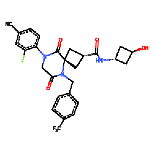 N#Cc1ccc(N2CC(=O)N(Cc3ccc(C(F)(F)F)cc3)[C@]3(C[C@@H](C(=O)N[C@H]4C[C@H](O)C4)C3)C2=O)c(F)c1